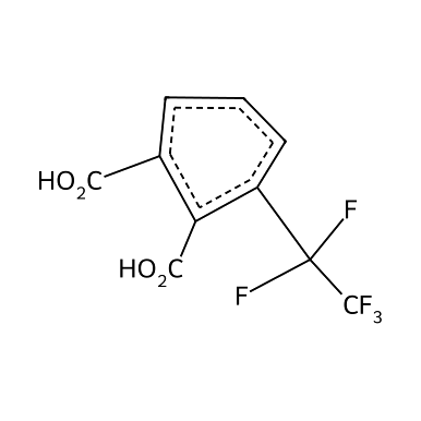 O=C(O)c1cccc(C(F)(F)C(F)(F)F)c1C(=O)O